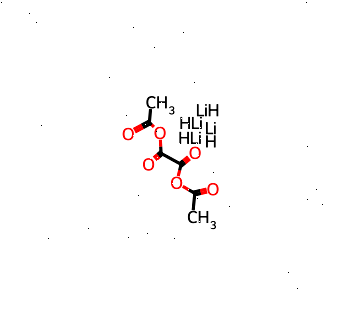 CC(=O)OC(=O)C(=O)OC(C)=O.[LiH].[LiH].[LiH].[LiH]